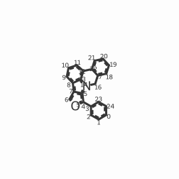 c1ccc(-c2occ3c4cccc5c4n(c23)Cc2ccccc2-5)cc1